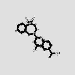 CC(O)c1ccc2nc(N3CCS(=O)(=O)c4ccccc4C3)cc(Cl)c2c1